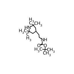 CC1(C)CC(CCNC(=O)OC(C)(C)C)CC(C)(C)N1